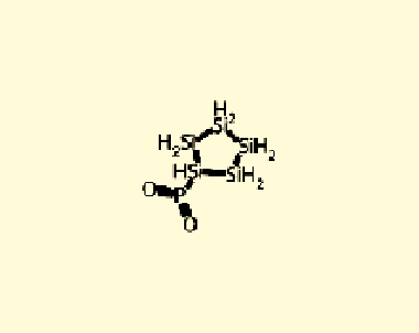 O=P(=O)[SiH]1[SiH2][SiH2][SiH2][SiH2]1